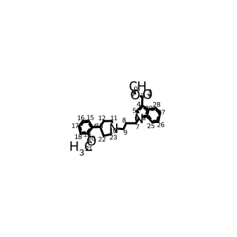 COC(=O)c1cn(CCCN2CCC(c3ccccc3OC)CC2)c2ccccc12